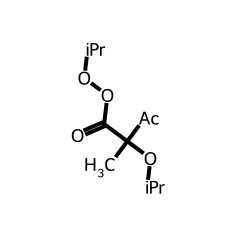 CC(=O)C(C)(OC(C)C)C(=O)OOC(C)C